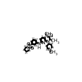 C[C@@H]1C(=O)N(C)c2ccc(Nc3cccc(S(=O)(=O)N4CCCC4)c3)nc2N1C1CCN(C)CC1